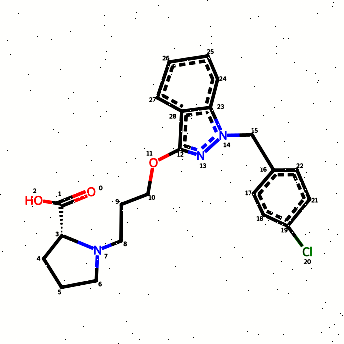 O=C(O)[C@H]1CCCN1CCCOc1nn(Cc2ccc(Cl)cc2)c2ccccc12